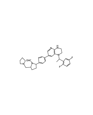 CC(c1cc(F)ccc1F)N1CCNc2ncc(-c3ccc(C4CCC(CN5CCCC5)N4C=O)cc3)cc21